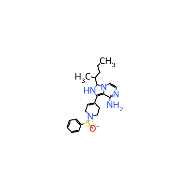 CCCC(C)C1NC(C2=CCN([S+]([O-])c3ccccc3)CC2)=C2C(N)=NC=CN21